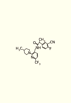 CC1CCN(c2nc(C(F)(F)F)ccc2CNC(=O)C(C)c2ccc(F)c(C#N)c2)CC1